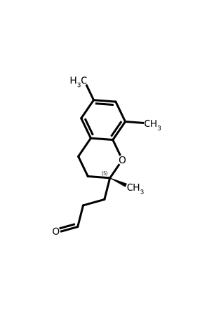 Cc1cc(C)c2c(c1)CC[C@@](C)(CCC=O)O2